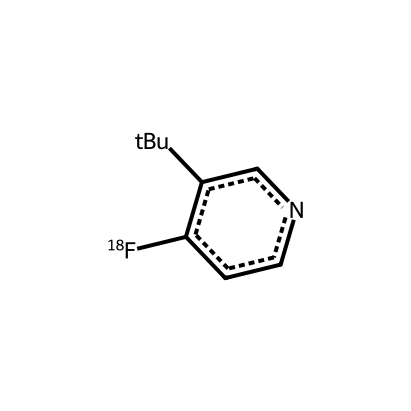 CC(C)(C)c1cnccc1[18F]